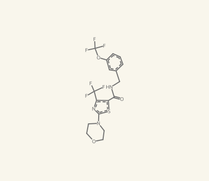 O=C(NCc1cccc(OC(F)(F)F)c1)c1sc(N2CCOCC2)nc1C(F)(F)F